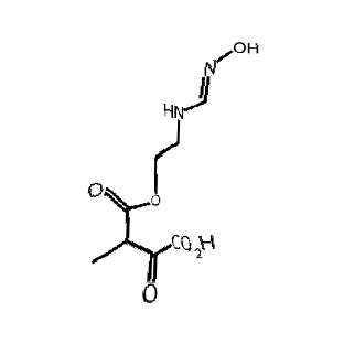 CC(C(=O)OCCNC=NO)C(=O)C(=O)O